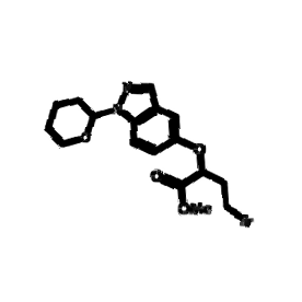 COC(=O)C(CCBr)Oc1ccc2c(cnn2C2CCCCO2)c1